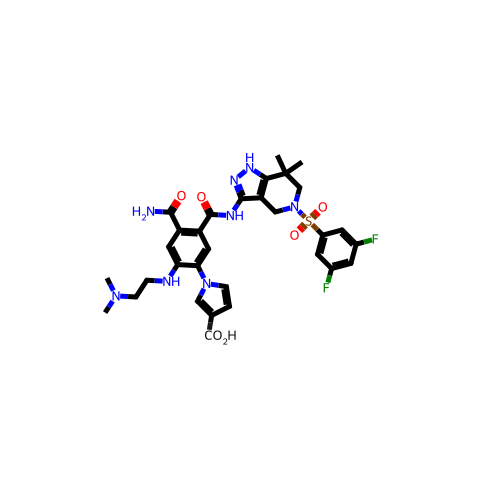 CN(C)CCNc1cc(C(N)=O)c(C(=O)Nc2n[nH]c3c2CN(S(=O)(=O)c2cc(F)cc(F)c2)CC3(C)C)cc1-n1ccc(C(=O)O)c1